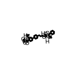 CC(C)Oc1cc(-c2ccc(CCCOC(=O)NC([C@H](O)c3ccccc3)C(C)(C)C)cc2)ccc1C(=O)NS(C)(=O)=O